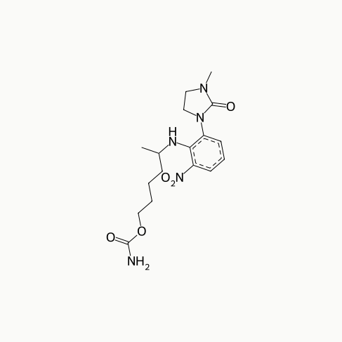 CC(CCCCOC(N)=O)Nc1c(N2CCN(C)C2=O)cccc1[N+](=O)[O-]